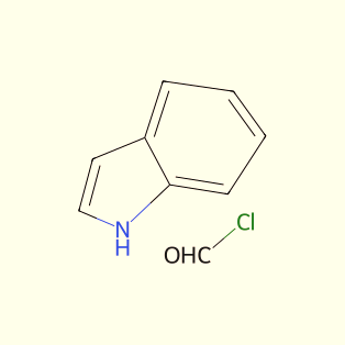 O=CCl.c1ccc2[nH]ccc2c1